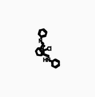 CN1CC2CCC1C(/C=N/c1ccccc1)=C(Cl)C/2=C/Nc1ccccc1